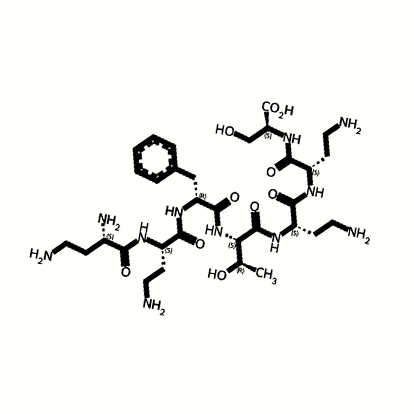 C[C@@H](O)[C@H](NC(=O)[C@@H](Cc1ccccc1)NC(=O)[C@H](CCN)NC(=O)[C@@H](N)CCN)C(=O)N[C@@H](CCN)C(=O)N[C@@H](CCN)C(=O)N[C@@H](CO)C(=O)O